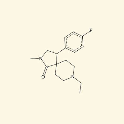 CCN1CCC2(CC1)C(=O)N(C)CC2c1ccc(F)cc1